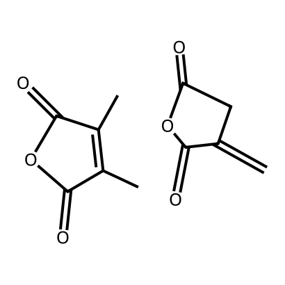 C=C1CC(=O)OC1=O.CC1=C(C)C(=O)OC1=O